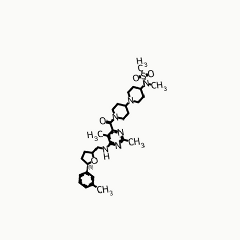 Cc1cccc([C@H]2CCC(CNc3nc(C)nc(C(=O)N4CCC(N5CCC(N(C)S(C)(=O)=O)CC5)CC4)c3C)O2)c1